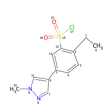 CCc1ccc(-c2cnn(C)c2)cc1S(=O)(=O)Cl